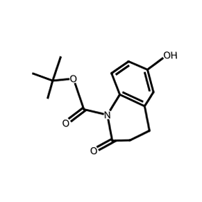 CC(C)(C)OC(=O)N1C(=O)CCc2cc(O)ccc21